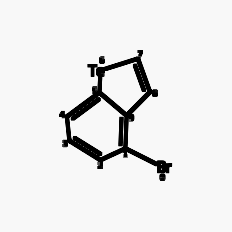 Brc1cccc2[te]ccc12